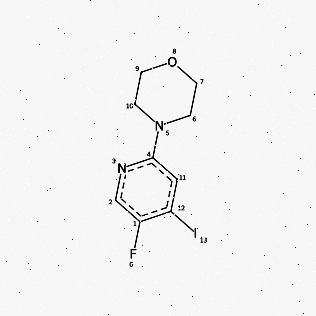 Fc1cnc(N2CCOCC2)cc1I